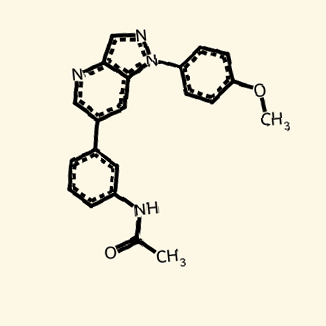 COc1ccc(-n2ncc3ncc(-c4cccc(NC(C)=O)c4)cc32)cc1